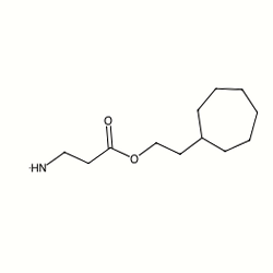 [NH]CCC(=O)OCCC1CCCCCC1